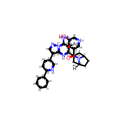 CC(=O)c1c(C2CC3CC[C@H](C2)N3C(=O)c2cncc(O)c2)nc2c(-c3ccc(-c4ccccc4)nc3)cnn2c1N